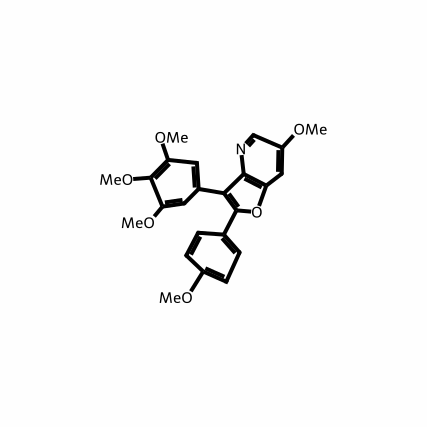 COc1ccc(-c2oc3cc(OC)cnc3c2-c2cc(OC)c(OC)c(OC)c2)cc1